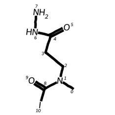 CN(CCC(=O)NN)C(=O)I